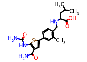 Cc1cc(-c2cc(C(N)=O)c(NC(N)=O)s2)ccc1CN[C@@H](CC(C)C)C(=O)O